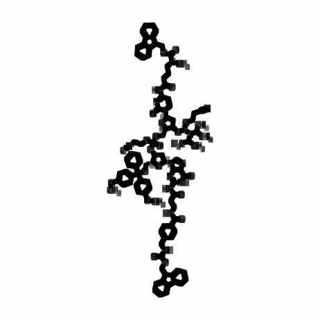 [C-]#[N+]CCOP(=O)(OC[C@H]1O[C@@H](n2ccc(NC(=O)CCCN(C)C(=O)OCC3c4ccccc4-c4ccccc43)nc2=O)CC1OP(OCCC#N)N(C(C)C)C(C)C)OC1C[C@H](n2cnc3c(=O)[nH]c(NC(=O)CCNC(=O)c4ccc(CNC(=O)OCC5c6ccccc6-c6ccccc65)cc4)nc32)O[C@@H]1COC(c1ccccc1)(c1ccc(OC)cc1)c1ccc(OC)cc1